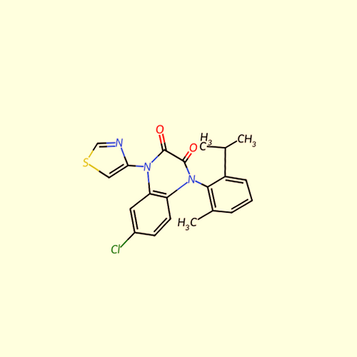 Cc1cccc(C(C)C)c1-n1c(=O)c(=O)n(-c2cscn2)c2cc(Cl)ccc21